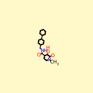 Cn1ccc(C(=O)NCc2ccc(-c3ccccc3)cc2)c(O)c1=O